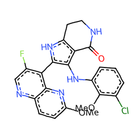 COc1ccc2ncc(F)c(-c3[nH]c4c(c3Nc3cccc(Cl)c3OC)C(=O)NCC4)c2n1